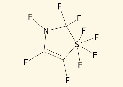 FC1=C(F)S(F)(F)(F)(F)C(F)(F)N1F